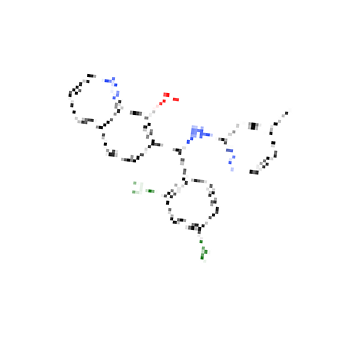 Cc1ccnc(NC(c2ccc(Cl)cc2Cl)c2ccc3cccnc3c2O)c1